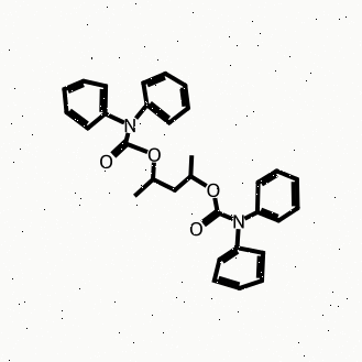 CC(CC(C)OC(=O)N(c1ccccc1)c1ccccc1)OC(=O)N(c1ccccc1)c1ccccc1